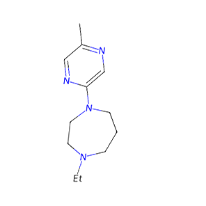 CCN1CCCN(c2cnc(C)cn2)CC1